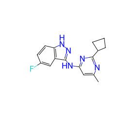 Cc1cc(Nc2n[nH]c3ccc(F)cc23)nc(C2CCC2)n1